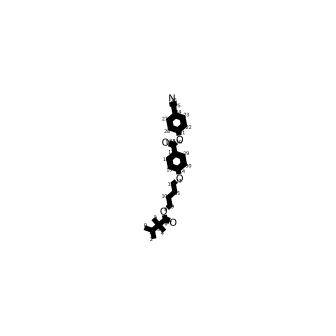 CC(C)C(C)(C)C(=O)OCCCCOc1ccc(C(=O)Oc2ccc(C#N)cc2)cc1